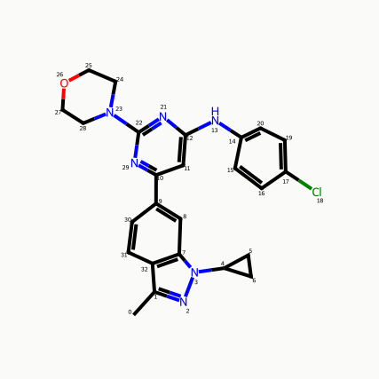 Cc1nn(C2CC2)c2cc(-c3cc(Nc4ccc(Cl)cc4)nc(N4CCOCC4)n3)ccc12